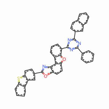 c1ccc(-c2nc(-c3ccc4ccccc4c3)nc(-c3cccc4c3oc3ccc5oc(-c6ccc7sc8ccccc8c7c6)nc5c34)n2)cc1